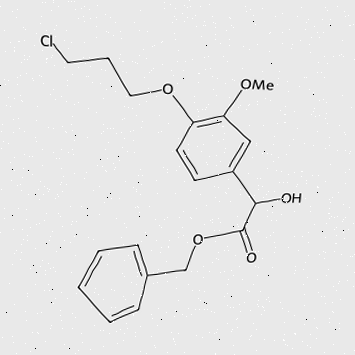 COc1cc(C(O)C(=O)OCc2ccccc2)ccc1OCCCCl